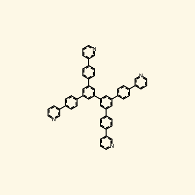 c1cncc(-c2ccc(-c3cc(-c4ccc(-c5cccnc5)cc4)cc(-c4cc(-c5ccc(-c6cccnc6)cc5)cc(-c5ccc(-c6cccnc6)cc5)c4)c3)cc2)c1